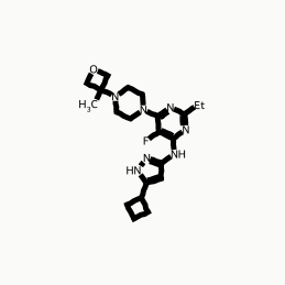 CCc1nc(Nc2cc(C3CCC3)[nH]n2)c(F)c(N2CCN(C3(C)COC3)CC2)n1